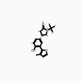 Cc1ccsc1-c1cc([C@@H]2CC(=O)N(C(C)(C)C)C2)ccc1Cl